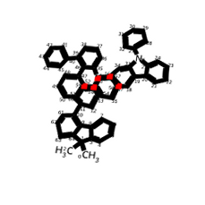 CC1(C)c2ccccc2-c2c(-c3ccc(N(c4ccc5c6ccccc6n(-c6ccccc6)c5c4)c4cccc(-c5ccccc5)c4-c4ccccc4-c4ccccc4)cc3)cccc21